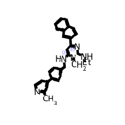 C=N/C(=C\C(=N/CNCC)c1ccc2ccccc2c1)NCc1ccc(-c2ccnc(C)c2)cc1